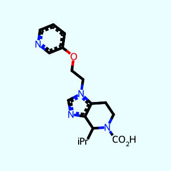 CC(C)C1c2ncn(CCOc3cccnc3)c2CCN1C(=O)O